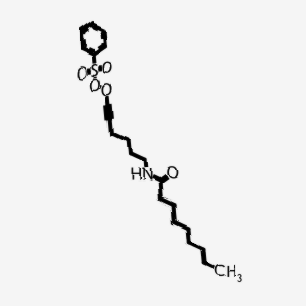 CCCCCCCCC(=O)NCCCCC#COOS(=O)(=O)c1ccccc1